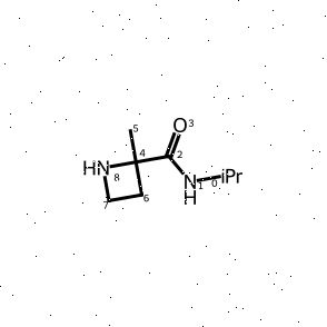 CC(C)NC(=O)C1(C)CCN1